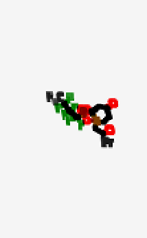 CC(C)C(=O)CS1(OS(=O)(=O)C(F)(F)C(F)(F)C(F)(F)C(F)(F)F)CCC(=O)CC1